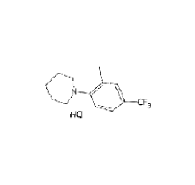 Cc1cc(C(F)(F)F)ccc1N1CCCCC1.Cl